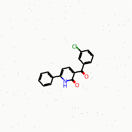 O=C(c1cccc(Cl)c1)c1ccc(-c2ccccc2)[nH]c1=O